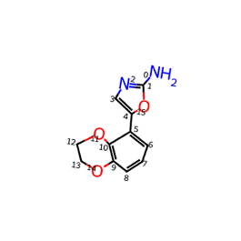 Nc1ncc(-c2cccc3c2OCCO3)o1